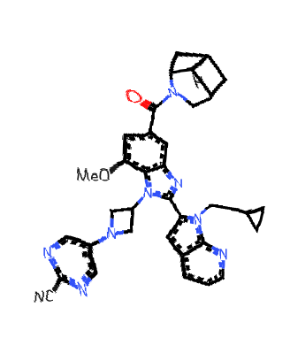 COc1cc(C(=O)N2CC3CC4CC2[C@H]43)cc2nc(-c3cc4cccnc4n3CC3CC3)n(C3CN(c4cnc(C#N)nc4)C3)c12